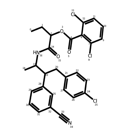 CCC(OC(=O)c1c(Cl)cccc1Cl)C(=O)NC(C)C(Cc1ccc(Cl)cc1)c1cccc(C#N)c1